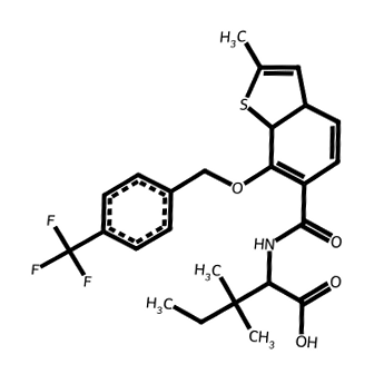 CCC(C)(C)C(NC(=O)C1=C(OCc2ccc(C(F)(F)F)cc2)C2SC(C)=CC2C=C1)C(=O)O